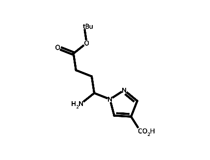 CC(C)(C)OC(=O)CCC(N)n1cc(C(=O)O)cn1